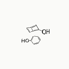 Oc1cc2ccc1-2.Oc1ccccc1